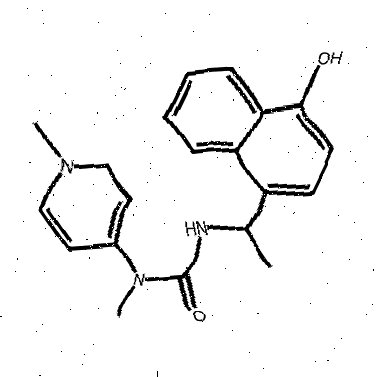 CC(NC(=O)N(C)C1=CCN(C)C=C1)c1ccc(O)c2ccccc12